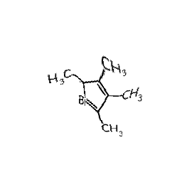 C[C]1[Bi]=[C](C)C(C)=C1C